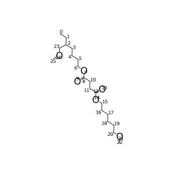 CCC(CCCCOC(=O)CCC(=O)OCCCCCCOC)COC